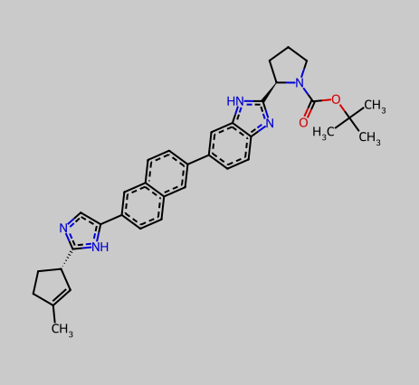 CC1=C[C@@H](c2ncc(-c3ccc4cc(-c5ccc6nc([C@H]7CCCN7C(=O)OC(C)(C)C)[nH]c6c5)ccc4c3)[nH]2)CC1